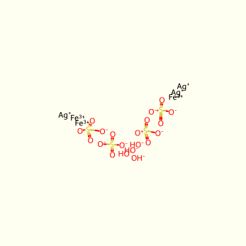 O=S(=O)([O-])[O-].O=S(=O)([O-])[O-].O=S(=O)([O-])[O-].O=S(=O)([O-])[O-].[Ag+].[Ag+].[Ag+].[Fe+3].[Fe+3].[Fe+3].[OH-].[OH-].[OH-].[OH-]